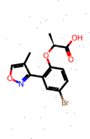 Cc1conc1-c1cc(Br)ccc1O[C@@H](C)C(=O)O